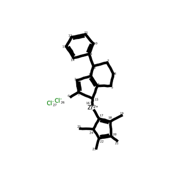 CC1=CC2=C(CCCC2c2ccccc2)[CH]1[Zr+2][C]1=C(C)C(C)=C(C)C1C.[Cl-].[Cl-]